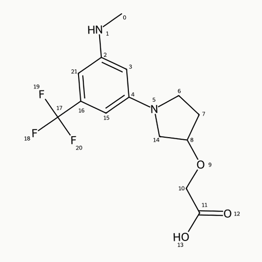 CNc1cc(N2CCC(OCC(=O)O)C2)cc(C(F)(F)F)c1